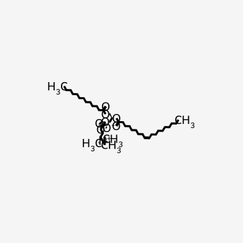 CCCCCCCCC/C=C\CCCCCCCC(=O)O[C@H](COC(=O)CCCCCCCCCCCC)COP(=O)([O-])OCC[N+](C)(C)C